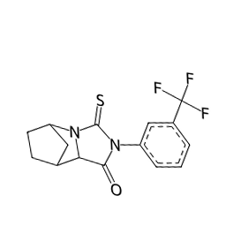 O=C1C2C3CCC(C3)N2C(=S)N1c1cccc(C(F)(F)F)c1